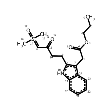 CCCOC(=O)Cc1c(CCC(=O)C=S(C)(C)=O)[nH]c2ccccc12